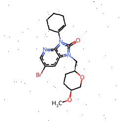 CO[C@H]1CC[C@@H](Cn2c(=O)n(C3=CCCCC3)c3ncc(Br)cc32)OC1